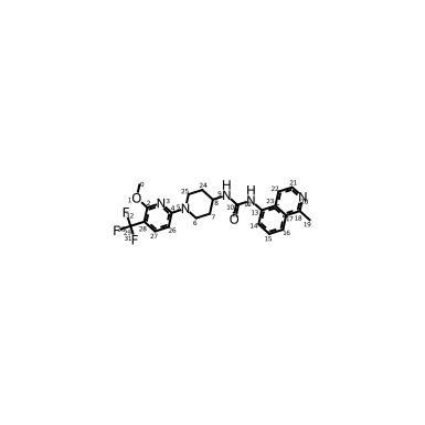 COc1nc(N2CCC(NC(=O)Nc3cccc4c(C)nccc34)CC2)ccc1C(F)(F)F